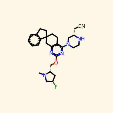 CN1C[C@H](F)C[C@H]1COc1nc2c(c(N3CCN[C@@H](CC#N)C3)n1)CCC1(CCc3ccccc31)C2